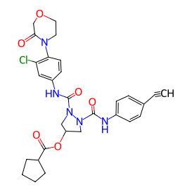 C#Cc1ccc(NC(=O)N2CC(OC(=O)C3CCCC3)CN2C(=O)Nc2ccc(N3CCOCC3=O)c(Cl)c2)cc1